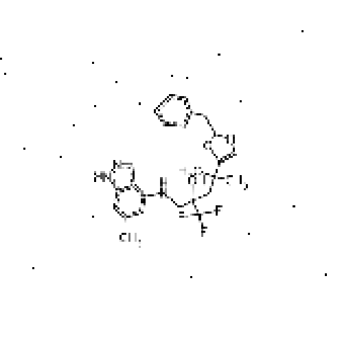 Cc1cc(NCC(O)(CC(C)(C)C2=COC(Cc3ccccc3)O2)C(F)(F)F)c2cn[nH]c2c1